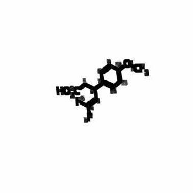 O=C(O)CC(C=C(F)F)c1ccc(OC(F)(F)F)cc1